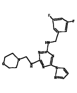 Fc1cc(F)cc(CNc2nc(NCN3CCOCC3)nc(-n3cccn3)n2)c1